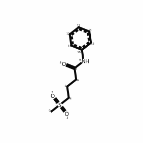 CS(=O)(=O)CCCC(=O)Nc1ccccc1